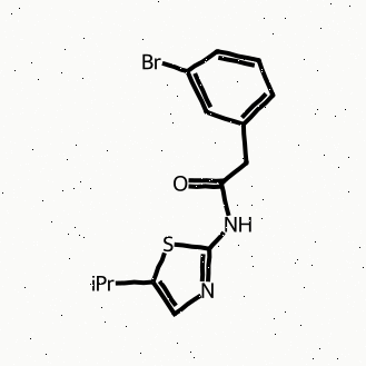 CC(C)c1cnc(NC(=O)Cc2cccc(Br)c2)s1